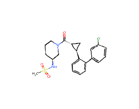 CS(=O)(=O)N[C@H]1CCCN(C(=O)[C@@H]2C[C@H]2c2ccccc2-c2cccc(Cl)c2)C1